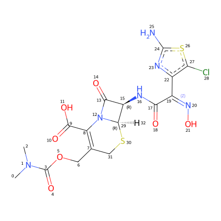 CN(C)C(=O)OCC1=C(C(=O)O)N2C(=O)[C@@H](NC(=O)/C(=N\O)c3nc(N)sc3Cl)[C@H]2SC1